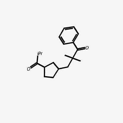 CC(C)C(=O)C1CCC(CC(C)(C)C(=O)c2ccccc2)C1